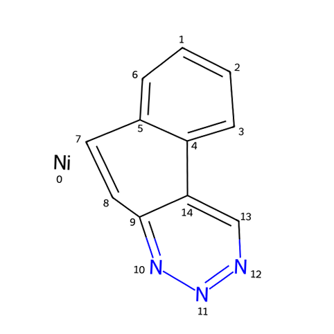 [Ni].c1ccc2c(c1)ccc1nnncc12